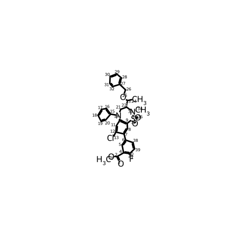 COC(=O)c1cc(-c2cc3c(cc2Cl)N(c2ccccc2)C[C@@H](C(C)OCc2ccccc2)N(C)S3(=O)=O)ccc1F